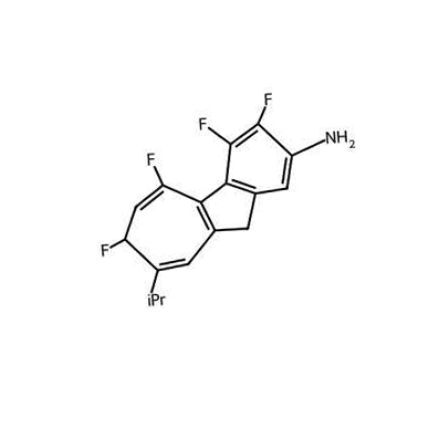 CC(C)C1=CC2=C(C(F)=CC1F)c1c(cc(N)c(F)c1F)C2